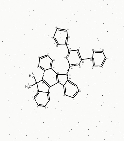 CC1(C)c2ccccc2-c2c1c1ccccc1c1c2c2ccccc2n1-c1nc(-c2ccccc2)nc(-c2ccccc2)n1